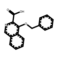 O=C(O)c1ncc2ccccc2c1OCc1ccccc1